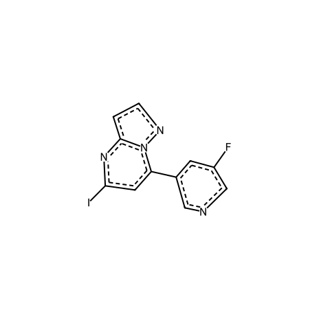 Fc1cncc(-c2cc(I)nc3ccnn23)c1